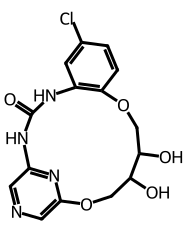 O=C1Nc2cncc(n2)OCC(O)C(O)COc2ccc(Cl)cc2N1